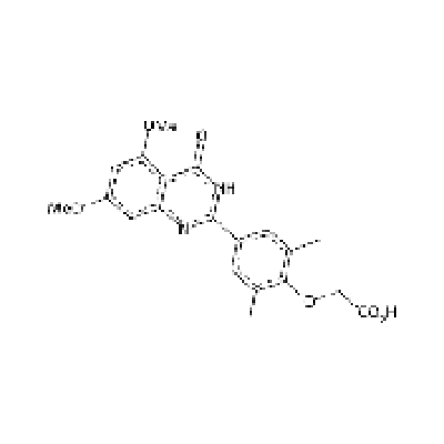 COc1cc(OC)c2c(=O)[nH]c(-c3cc(C)c(OCC(=O)O)c(C)c3)nc2c1